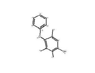 Cc1cc(O)c(C)c(C)c1Oc1ccccc1